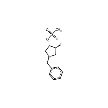 CS(=O)(=O)O[C@H]1CN(Cc2ccccc2)C[C@@H]1F